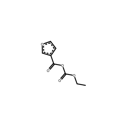 CCOC(=O)OC(=O)c1ccoc1